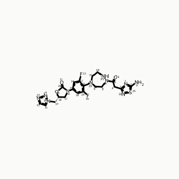 Nc1nc(CC(=O)N2CCN(c3c(F)cc(N4C[C@H](Cn5ccnn5)OC4=O)cc3F)CCN2)ns1